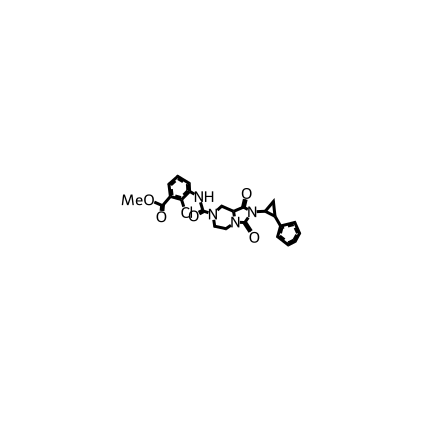 COC(=O)c1cccc(NC(=O)N2CCN3C(=O)N(C4CC4c4ccccc4)C(=O)C3C2)c1Cl